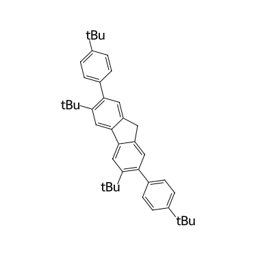 CC(C)(C)c1ccc(-c2cc3c(cc2C(C)(C)C)-c2cc(C(C)(C)C)c(-c4ccc(C(C)(C)C)cc4)cc2C3)cc1